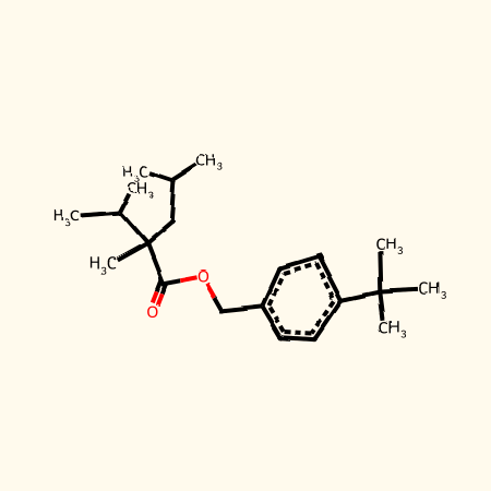 CC(C)CC(C)(C(=O)OCc1ccc(C(C)(C)C)cc1)C(C)C